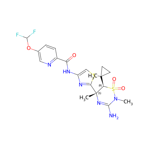 CN1C(N)=N[C@](C)(c2nc(NC(=O)c3ccc(OC(F)F)cn3)cs2)[C@@H](C2(C)CC2)S1(=O)=O